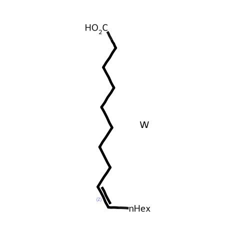 CCCCCC/C=C\CCCCCCCC(=O)O.[W]